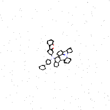 c1ccc(-c2ccc(N(c3ccc4c(c3)oc3ccccc34)c3ccc(-c4ccccc4-n4c5ccccc5c5ccccc54)c4ccccc34)cc2)cc1